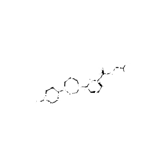 CC(C)N1CCC(N2CCCN(C3C=CC=C(C(=O)NCC(F)F)N3)CC2)CC1